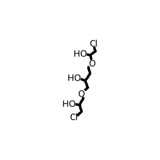 OC(CCl)COCC(O)CCOC(O)CCl